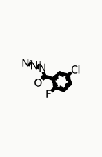 [N-]=[N+]=NC(=O)c1cc(Cl)ccc1F